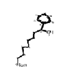 CCCCCCCCCCCCCCCCC(O)c1ccccc1